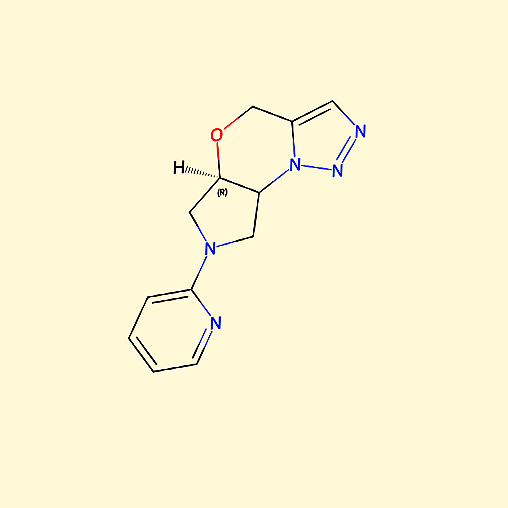 c1ccc(N2CC3[C@@H](C2)OCc2cnnn23)nc1